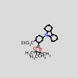 CCOC(=O)c1ccc(-n2c3ccccc3c3ccccc32)cc1B1OC(C)(C)C(C)(C)O1